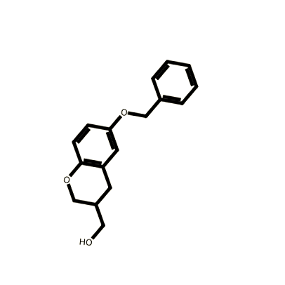 OCC1COc2ccc(OCc3ccccc3)cc2C1